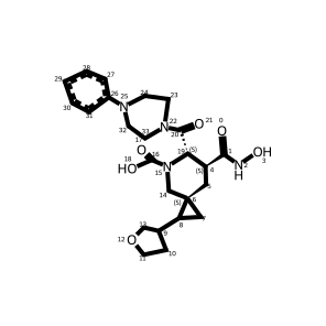 O=C(NO)[C@H]1C[C@]2(CC2C2CCOC2)CN(C(=O)O)[C@@H]1C(=O)N1CCN(c2ccccc2)CC1